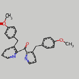 COc1ccc(Cc2cccnc2C(=O)c2ncccc2Cc2ccc(OC)cc2)cc1